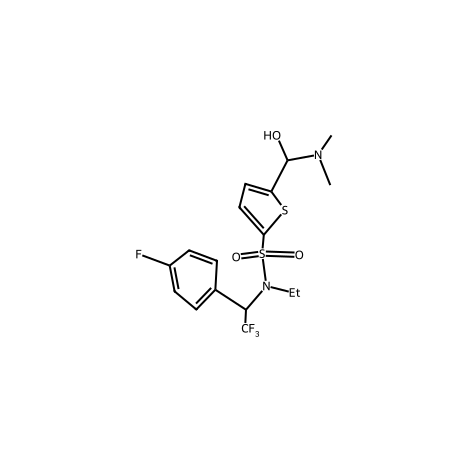 CCN(C(c1ccc(F)cc1)C(F)(F)F)S(=O)(=O)c1ccc(C(O)N(C)C)s1